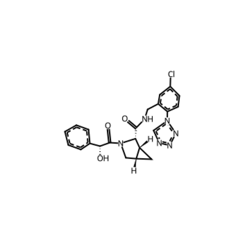 O=C(NCc1cc(Cl)ccc1-n1cnnn1)[C@@H]1[C@@H]2C[C@@H]2CN1C(=O)[C@H](O)c1ccccc1